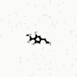 COC(=O)c1c(F)cc(CC=O)cc1F